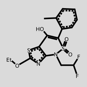 CCOc1nc2c(s1)C(O)=C(c1ccccc1C)S(=O)(=O)N2CC(F)F